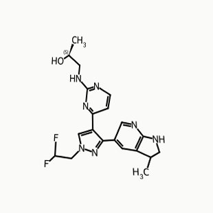 CC1CNc2ncc(-c3nn(CC(F)F)cc3-c3ccnc(NC[C@H](C)O)n3)cc21